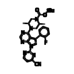 CC1CN(c2ncnc3c2c(-c2ccccc2F)cn3-c2nccc(C#N)n2)C(C)CN1C(=O)OC(C)(C)C